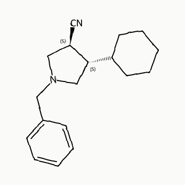 N#C[C@@H]1CN(Cc2ccccc2)C[C@H]1C1CCCCC1